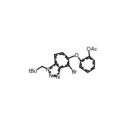 CC(=O)Oc1ccccc1Oc1ccc2c(nnn2CC(C)(C)C)c1Br